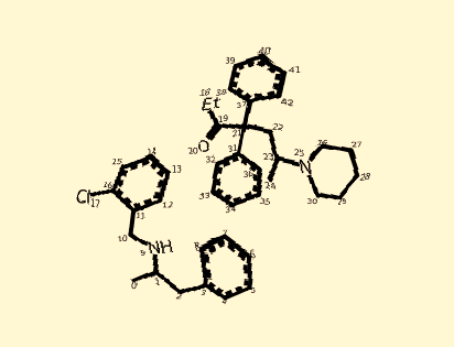 CC(Cc1ccccc1)NCc1ccccc1Cl.CCC(=O)C(CC(C)N1CCCCC1)(c1ccccc1)c1ccccc1